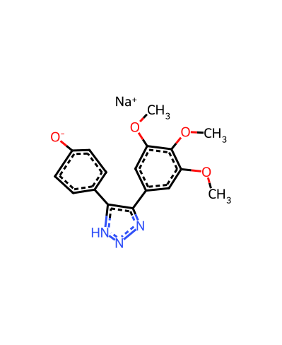 COc1cc(-c2nn[nH]c2-c2ccc([O-])cc2)cc(OC)c1OC.[Na+]